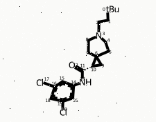 CC(C)(C)CCN1CCC2(CC1)C[C@@H]2C(=O)Nc1cc(Cl)cc(Cl)c1